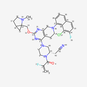 C=C(F)C(=O)N1CCN(c2nc(OCC34CC3CCN4C)nc3c2CCN(c2cccc4ccc(F)c(Cl)c24)C3)C[C@@H]1CC#N